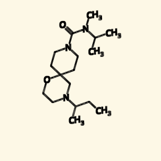 CCC(C)N1CCOC2(CCN(C(=O)N(C)C(C)C)CC2)C1